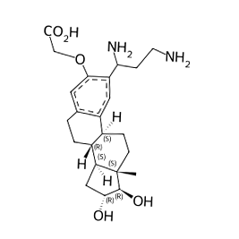 C[C@]12CC[C@@H]3c4cc(C(N)CCN)c(OCC(=O)O)cc4CC[C@H]3[C@@H]1C[C@@H](O)[C@@H]2O